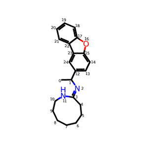 CC(N=C1CCCCCCCN1)c1ccc2oc3ccccc3c2c1